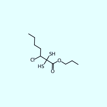 CCCCC(Cl)C(S)(S)C(=O)OCCC